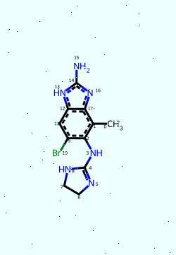 Cc1c(NC2=NCCN2)c(Br)cc2[nH]c(N)nc12